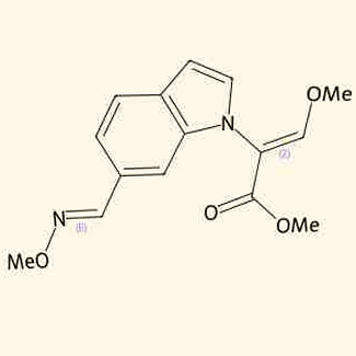 CO/C=C(/C(=O)OC)n1ccc2ccc(/C=N/OC)cc21